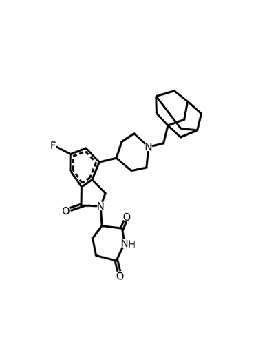 O=C1CCC(N2Cc3c(cc(F)cc3C3CCN(CC45CC6CC(CC(C6)C4)C5)CC3)C2=O)C(=O)N1